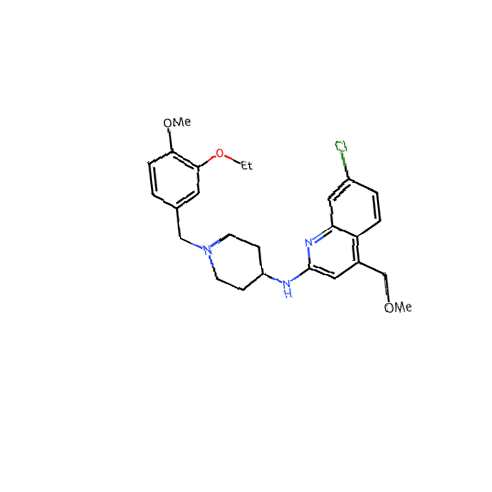 CCOc1cc(CN2CCC(Nc3cc(COC)c4ccc(Cl)cc4n3)CC2)ccc1OC